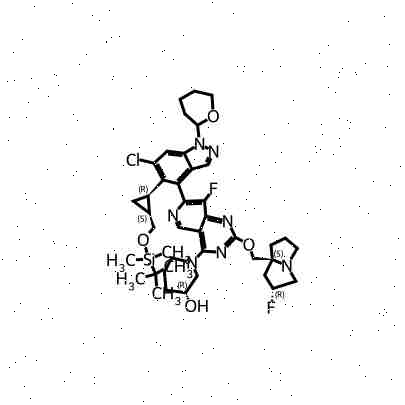 CC(C)(C)[Si](C)(C)OC[C@H]1C[C@H]1c1c(Cl)cc2c(cnn2C2CCCCO2)c1-c1ncc2c(N3CCC[C@@H](O)C3)nc(OC[C@@]34CCCN3C[C@H](F)C4)nc2c1F